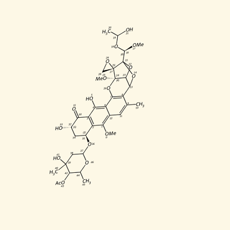 COc1c2c(c(O)c3c4c(c(C)cc13)C1OC3([C@H](OC)OC(C)O)OC1[C@@](OC)(O4)[C@@]31CO1)C(=O)[C@@H](O)C[C@@H]2OC1CC(C)(O)C(OC(C)=O)C(C)O1